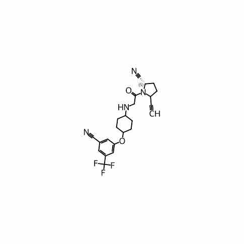 C#CC1CC[C@@H](C#N)N1C(=O)CNC1CCC(Oc2cc(C#N)cc(C(F)(F)F)c2)CC1